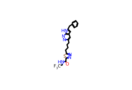 O=C(NCC(F)(F)F)c1nnc(CCCCc2cc3cc(Cc4ccccc4)[nH]c3nn2)s1